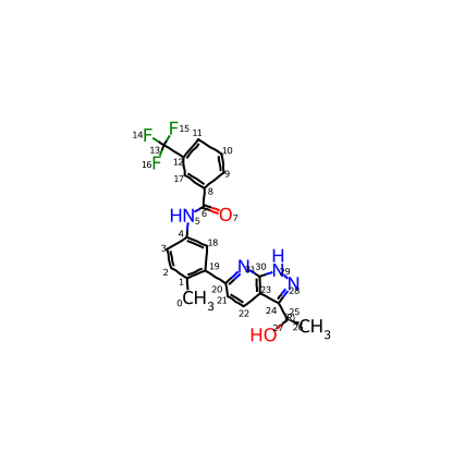 Cc1ccc(NC(=O)c2cccc(C(F)(F)F)c2)cc1-c1ccc2c([C@@H](C)O)n[nH]c2n1